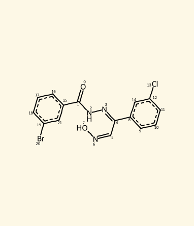 O=C(N/N=C(\C=N/O)c1cccc(Cl)c1)c1cccc(Br)c1